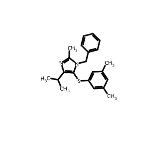 Cc1cc(C)cc(Sc2c(C(C)C)nc(C)n2Cc2ccccc2)c1